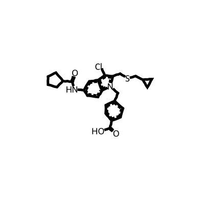 O=C(O)c1ccc(Cn2c(CSCC3CC3)c(Cl)c3cc(NC(=O)C4CCCC4)ccc32)cc1